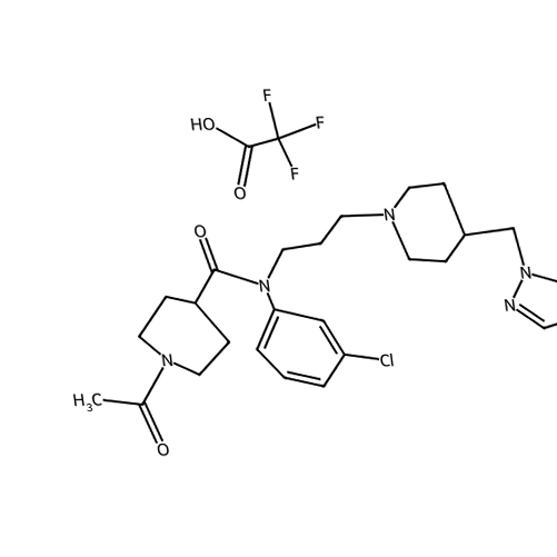 CC(=O)N1CCC(C(=O)N(CCCN2CCC(Cn3cccn3)CC2)c2cccc(Cl)c2)CC1.O=C(O)C(F)(F)F